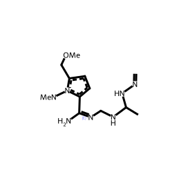 C=NNC(C)NC/N=C(/N)c1ccc(COC)n1NC